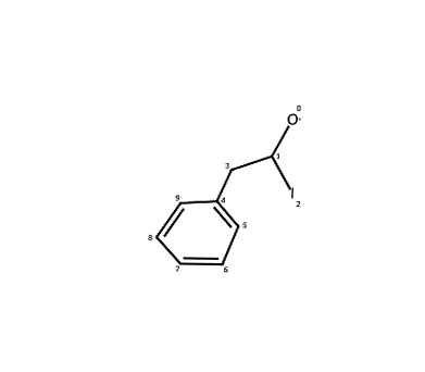 [O]C(I)Cc1ccccc1